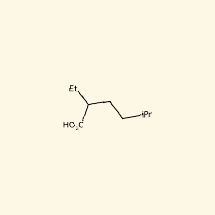 CCC(CCC(C)C)C(=O)O